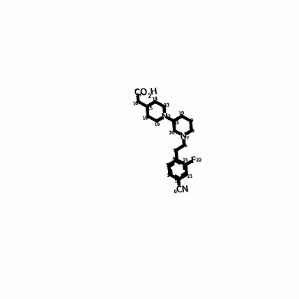 N#Cc1ccc(CCN2CCCC(N3CCC(CC(=O)O)CC3)C2)c(F)c1